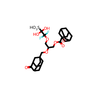 O=C1C2CC3CC1CC(COC(COC(=O)C14CC5CC(C1)C(=O)C(C5)C4)COC(F)(F)C(O)(O)S(=O)(=O)O)(C3)C2